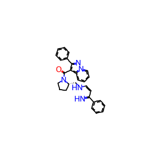 N=C(/C=C\NC[C@@H]1CCCN1C(=O)c1c(-c2ccccc2)nn2ccccc12)c1ccccc1